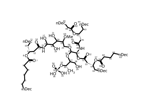 CCCCCCCCCCCCCCCC(=O)O[C@H](CCCCCCCCCCC)CC(=O)NC(O)C(O)C(O)C(COC(OC(CO)[C@H](C)OP(=O)(O)O)[C@@H](NC(=O)C[C@@H](CCCCCCCCCCC)OC(=O)CCCCCCCCCCC)OC(=O)C[C@@H](CCCCCCCCCCC)OC(=O)CCCCCCCCCCCCC)OC